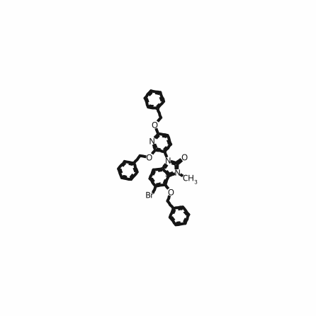 Cn1c(=O)n(-c2ccc(OCc3ccccc3)nc2OCc2ccccc2)c2ccc(Br)c(OCc3ccccc3)c21